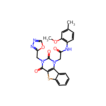 COc1cc(C)ccc1NC(=O)Cn1c(=O)n(Cc2nnco2)c(=O)c2sc3ccccc3c21